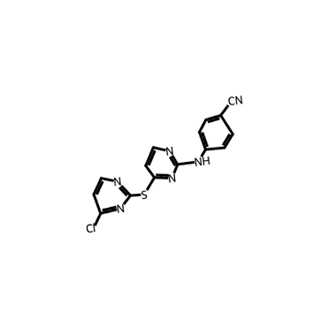 N#Cc1ccc(Nc2nccc(Sc3nccc(Cl)n3)n2)cc1